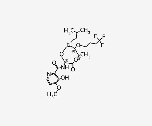 COc1ccnc(C(=O)N[C@H]2COC[C@H](CCC(C)C)[C@@H](OCCCC(F)(F)F)[C@H](C)OC2=O)c1O